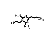 CCCCC1=NC(N)N(CCCl)C(N)=N1